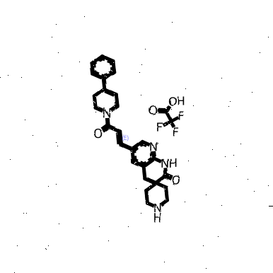 O=C(/C=C/c1cnc2c(c1)CC1(CCNCC1)C(=O)N2)N1CC=C(c2ccccc2)CC1.O=C(O)C(F)(F)F